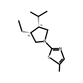 CC[C@H]1CN(c2ncc(C)s2)C[C@H]1C(C)C